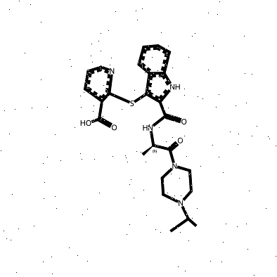 CC(C)N1CCN(C(=O)[C@@H](C)NC(=O)c2[nH]c3ccccc3c2Sc2ncccc2C(=O)O)CC1